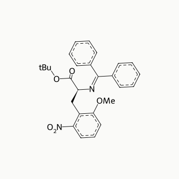 COc1cccc([N+](=O)[O-])c1C[C@H](N=C(c1ccccc1)c1ccccc1)C(=O)OC(C)(C)C